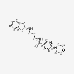 O=C(NCCCNC1Cc2ccccc2C1)c1ccc(N2CCOCC2)nc1